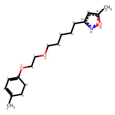 CC1=CC=C(OCCOCCCCCc2cc(C)on2)CC1